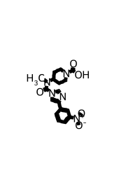 CN(C(=O)n1cnc(-c2cccc([N+](=O)[O-])c2)c1)C1CCN(C(=O)O)CC1